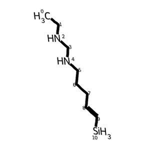 CCNCNCCCC=C[SiH3]